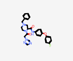 O=C(Nc1ccc(Oc2ccc(F)cc2)cc1)C1CN(Cc2ccccc2)CCN1C(=O)Cn1cncn1